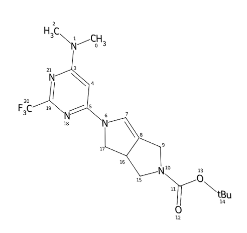 CN(C)c1cc(N2C=C3CN(C(=O)OC(C)(C)C)CC3C2)nc(C(F)(F)F)n1